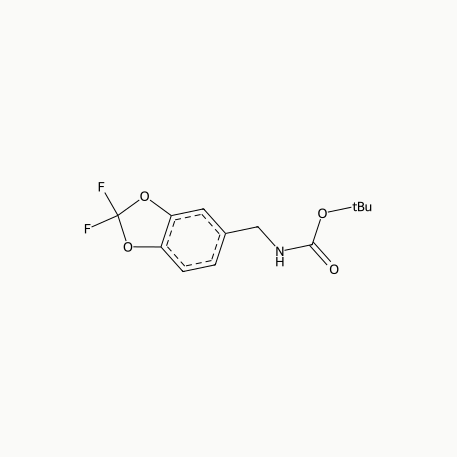 CC(C)(C)OC(=O)NCc1ccc2c(c1)OC(F)(F)O2